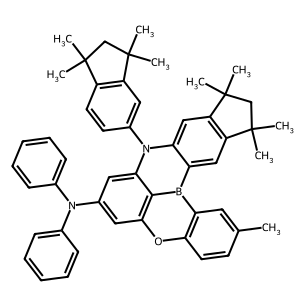 Cc1ccc2c(c1)B1c3cc4c(cc3N(c3ccc5c(c3)C(C)(C)CC5(C)C)c3cc(N(c5ccccc5)c5ccccc5)cc(c31)O2)C(C)(C)CC4(C)C